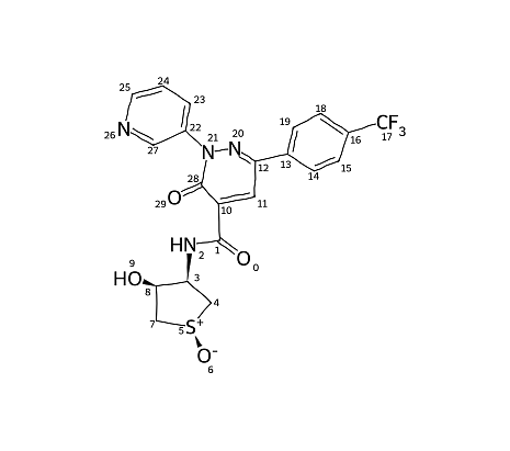 O=C(N[C@H]1C[S@@+]([O-])C[C@H]1O)c1cc(-c2ccc(C(F)(F)F)cc2)nn(-c2cccnc2)c1=O